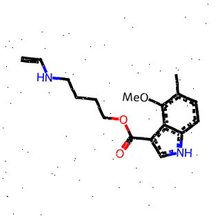 C=CNCCCCOC(=O)c1c[nH]c2ccc(C)c(OC)c12